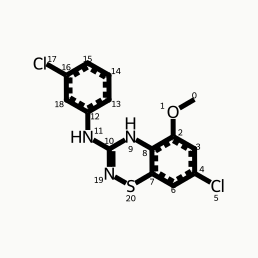 COc1cc(Cl)cc2c1NC(Nc1cccc(Cl)c1)=NS2